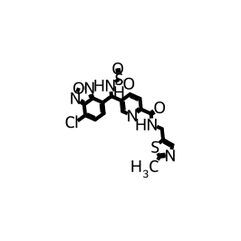 Cc1ncc(CNC(=O)c2ccc(C(N[SH](=O)=O)c3ccc(Cl)c4nonc34)cn2)s1